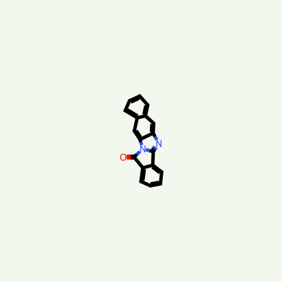 O=C1c2ccccc2-c2nc3cc4ccccc4cc3n21